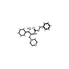 O=C(N[C@@H](CN1CCOCC1)[C@@H](O)C1CCCCC1)OCc1ccccc1